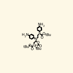 CC(C)(C)OC(=O)OCC(OC(=O)OC(C)(C)C)N(CCN(C(=O)OC(C)(C)C)c1ccc(N)cc1)c1ccc(N)cc1